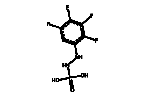 O=P(O)(O)NNc1cc(F)c(F)c(F)c1F